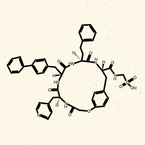 O=C1COc2ccc(cc2)C[C@@H](C(=O)NCS(=O)(=O)O)NC(=O)[C@H](CCc2ccccc2)NC(=O)[C@@H](Cc2ccc(-c3ccccc3)cc2)NC(=O)[C@H](Cc2ccncc2)N1